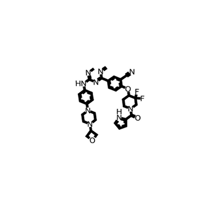 C=N/C(=N\C(=N/C)Nc1ccc(N2CCN(C3COC3)CC2)cc1)c1ccc(OC2CCN(C(=O)c3ccc[nH]3)CC2(F)F)c(C#N)c1